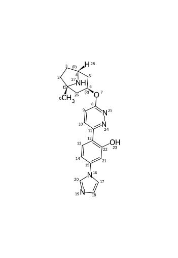 C[C@]12CC[C@H](C[C@@H](Oc3ccc(-c4ccc(-n5ccnc5)cc4O)nn3)C1)N2